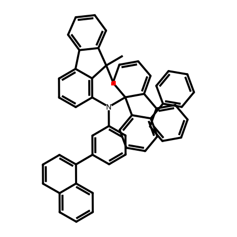 CC1(C)c2ccccc2-c2cccc(N(c3cccc(-c4cccc5ccccc45)c3)C3(c4ccccc4-c4ccccc4)CC=CC=C3c3ccccc3)c21